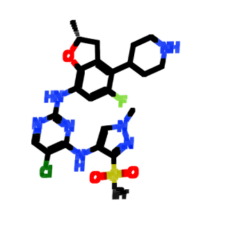 CC(C)S(=O)(=O)c1nn(C)cc1Nc1nc(Nc2cc(F)c(C3CCNCC3)c3c2O[C@H](C)C3)ncc1Cl